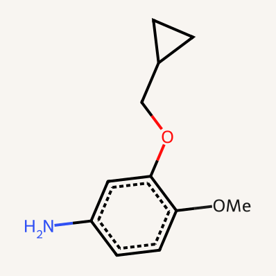 COc1ccc(N)cc1OCC1CC1